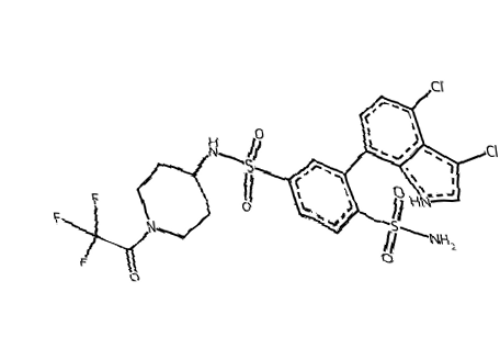 NS(=O)(=O)c1ccc(S(=O)(=O)NC2CCN(C(=O)C(F)(F)F)CC2)cc1-c1ccc(Cl)c2c(Cl)c[nH]c12